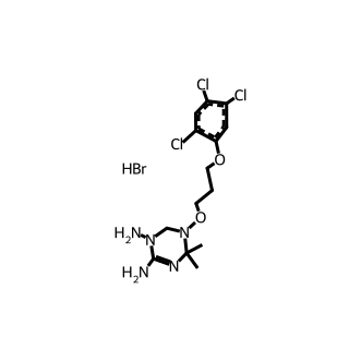 Br.CC1(C)N=C(N)N(N)CN1OCCCOc1cc(Cl)c(Cl)cc1Cl